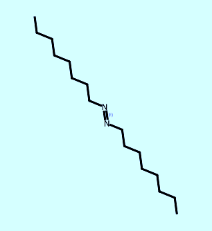 CCCCCCCC/N=N/CCCCCCCC